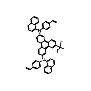 C=Cc1ccc(N(c2ccc3c4ccc(N(c5ccc(C=C)cc5)c5cccc6ccccc56)cc4c4cc(C(C)(F)F)ccc4c3c2)c2cccc3ccccc23)cc1